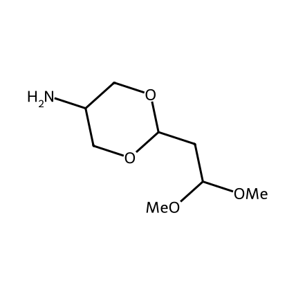 COC(CC1OCC(N)CO1)OC